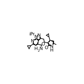 Cc1cc(C2CC2)c(CCc2nn(C(C)C)c3nc(C4CC4)cc(C(N)=O)c23)c(=O)[nH]1